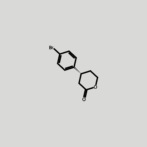 O=C1C[C@H](c2ccc(Br)cc2)CCO1